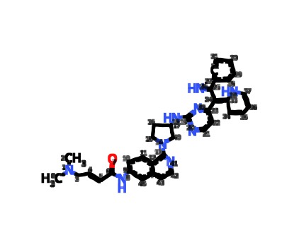 CN(C)C/C=C/C(=O)Nc1ccc2c(N3CCC(Nc4nccc(/C(C(=N)c5ccccc5)=C5\C=CC=CN5)n4)C3)nccc2c1